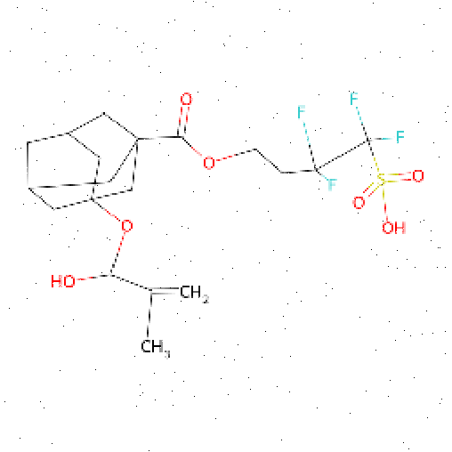 C=C(C)C(O)OC12CC3CC(C1)CC(C(=O)OCCC(F)(F)C(F)(F)S(=O)(=O)O)(C3)C2